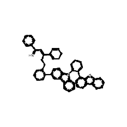 N=C(/C=C(\CCc1ccccc1-c1ccc2c(c1)c1ccccc1n2C1=CCCC=C1c1cccc2c1sc1ccccc12)C1=CCCC=C1)c1ccccc1